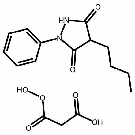 CCCCC1C(=O)NN(c2ccccc2)C1=O.O=C(O)CC(=O)OO